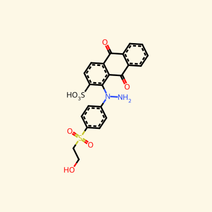 NN(c1ccc(S(=O)(=O)CCO)cc1)c1c(S(=O)(=O)O)ccc2c1C(=O)c1ccccc1C2=O